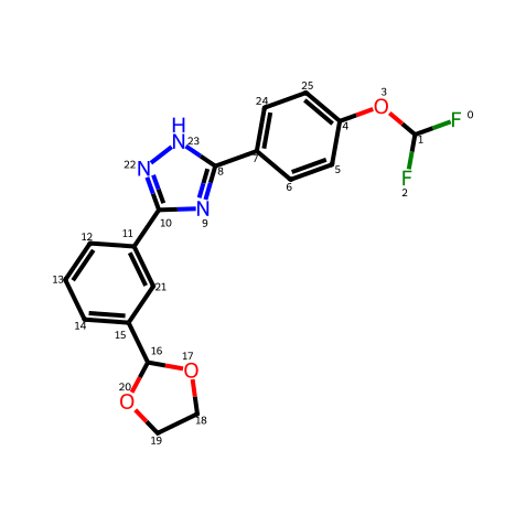 FC(F)Oc1ccc(-c2nc(-c3cccc(C4OCCO4)c3)n[nH]2)cc1